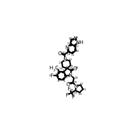 Cc1c(F)ccc2c1C1(CCN(C(=O)c3ccc4[nH]ncc4n3)CC1)C(=O)N2CC(=O)N1CCCC1C(F)(F)F